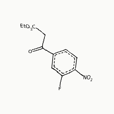 CCOC(=O)CC(=O)c1ccc([N+](=O)[O-])c(F)c1